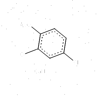 CC(=O)Oc1ccc(Cl)cc1Cl.[CaH2]